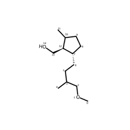 COCC(C)CC[C@H]1CCC(C)[C@@H]1CO